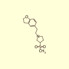 CS(=O)(=O)C1CCN(CCc2ccc3c(c2)CCO3)C1